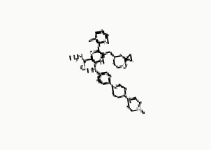 Cc1cccnc1-c1nc(C(N)=O)c(Nc2ccc(N3CCC(N4CCN(C)CC4)CC3)cc2)nc1CC1CCOC2(CC2)C1